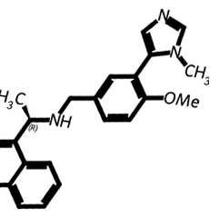 COc1ccc(CN[C@H](C)c2cccc3ccccc23)cc1-c1cncn1C